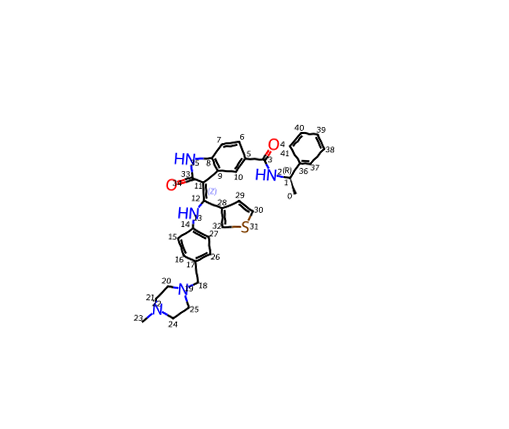 C[C@@H](NC(=O)c1ccc2c(c1)/C(=C(/Nc1ccc(CN3CCN(C)CC3)cc1)c1ccsc1)C(=O)N2)c1ccccc1